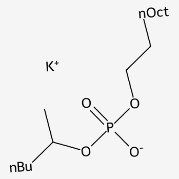 CCCCCCCCCCOP(=O)([O-])OC(C)CCCC.[K+]